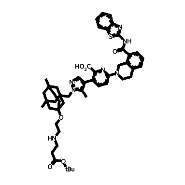 Cc1c(-c2ccc(N3CCc4cccc(C(=O)Nc5nc6ccccc6s5)c4C3)nc2C(=O)O)cnn1CC12CC3(C)CC(C)(C1)CC(OCCNCCC(=O)OC(C)(C)C)(C3)C2